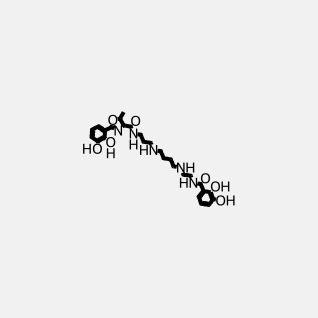 CC1OC(c2cccc(O)c2O)=NC1C(=O)NCCCNCCCCNCCNC(=O)c1cccc(O)c1O